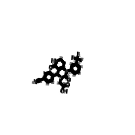 N#Cc1ccc(C2C3=C(CCNC3=O)N(c3cccc(C(F)(F)F)c3)C(=O)N2CC(=O)O)cc1